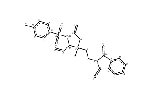 C=CC[N+](C)(CCN1C(=O)c2ccccc2C1=O)C(C=C)OS(=O)(=O)c1ccc(C)cc1